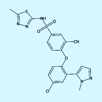 Cc1nnc(NS(=O)(=O)c2ccc(Oc3ccc(Cl)cc3-c3ccnn3C)c(C#N)c2)s1